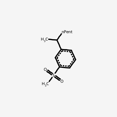 CCCCCC(C)c1cccc(S(C)(=O)=O)c1